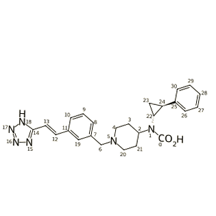 O=C(O)N(C1CCN(Cc2cccc(/C=C/c3nnn[nH]3)c2)CC1)[C@@H]1C[C@H]1c1ccccc1